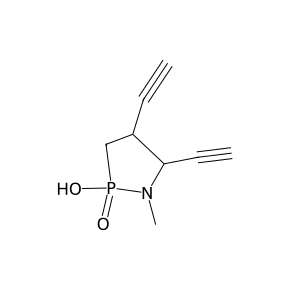 C#CC1CP(=O)(O)N(C)C1C#C